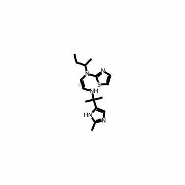 CCC(C)N(/C=C\NC(C)(C)c1cnc(C)[nH]1)c1nccs1